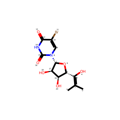 CC(C)=C(O)[C@H]1O[C@@H](n2cc(Br)c(=O)[nH]c2=O)[C@H](O)[C@@H]1O